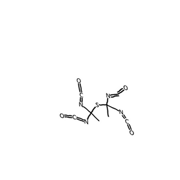 CC(N=C=O)(N=C=O)SC(C)(N=C=O)N=C=O